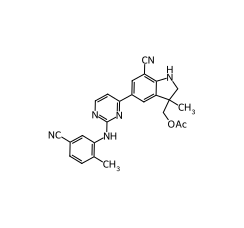 CC(=O)OCC1(C)CNc2c(C#N)cc(-c3ccnc(Nc4cc(C#N)ccc4C)n3)cc21